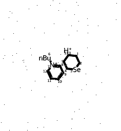 C1CC[Se]CC1.CCCC[n+]1ccccc1.[H+]